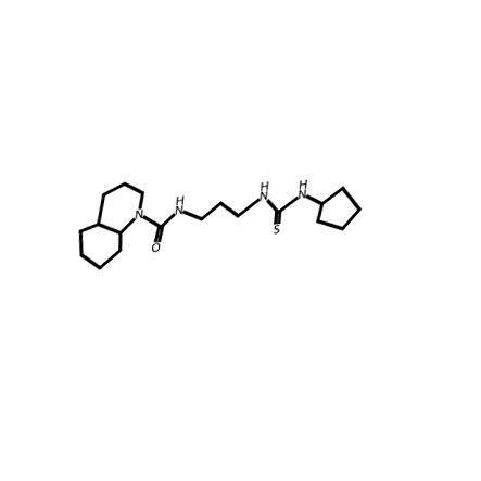 O=C(NCCCNC(=S)NC1CCCC1)N1CCCC2CCCCC21